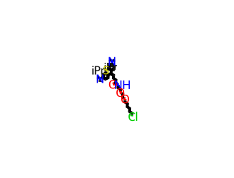 CC(C)S1(C(C)C)c2cc(N(C)C)ccc2C(=CCCC(=O)NCCOCCOCCCCCCCl)c2ccc(N(C)C)cc21